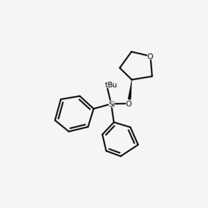 CC(C)(C)[Si](O[C@H]1CCOC1)(c1ccccc1)c1ccccc1